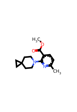 COC(=O)c1ccc(C)nc1N1CCC2(CC1)CC2